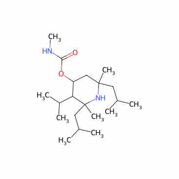 CNC(=O)OC1CC(C)(CC(C)C)NC(C)(CC(C)C)C1C(C)C